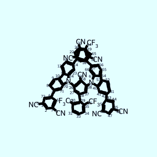 N#Cc1cc(C#N)cc(-c2ccc3c4ccc(-c5cc(C#N)cc(C#N)c5)cc4n(-c4cc(-c5c(C(F)(F)F)cccc5C(F)(F)F)cc(-n5c6cc(-c7cc(C#N)cc(C#N)c7)ccc6c6ccc(-c7cc(C#N)cc(C(F)(F)F)c7)cc65)c4C#N)c3c2)c1